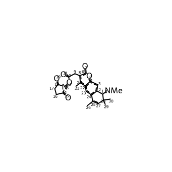 CNC1c2cc3oc(=O)c(CC(=O)ON4C(=O)CCC4=O)c(C)c3cc2C(C)=CC1(C)C